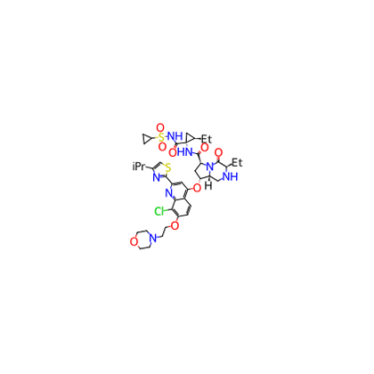 CC[C@@H]1C[C@]1(NC(=O)[C@@H]1C[C@@H](Oc2cc(-c3nc(C(C)C)cs3)nc3c(Cl)c(OCCN4CCOCC4)ccc23)[C@H]2CN[C@H](CC)C(=O)N21)C(=O)NS(=O)(=O)C1CC1